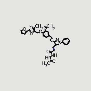 COc1cc(COc2nn(-c3ccccc3)cc2/C=C/C(=O)NNC(C)=O)ccc1OCc1nc(-c2ccco2)oc1C